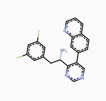 N[C@@H](Cc1cc(F)cc(F)c1)c1ncncc1-c1ccc2cccnc2c1